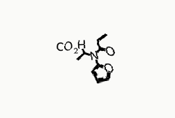 C=CC(=O)N(c1ccco1)C(C)C(=O)O